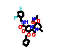 CC1=NOC2(CCC(C)N3CC2n2cc(C(=O)NCc4ccc(F)cc4F)c(=O)c(OCc4ccccc4)c2C3=O)O1